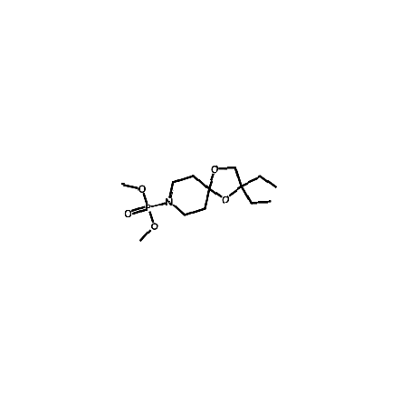 CCC1(CC)COC2(CCN(P(=O)(OC)OC)CC2)O1